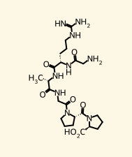 C[C@H](NC(=O)[C@H](CCCNC(=N)N)NC(=O)CN)C(=O)NCC(=O)N1CCC[C@H]1C(=O)N1CCC[C@H]1C(=O)O